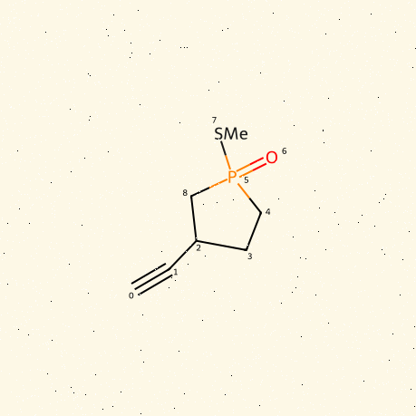 C#CC1CCP(=O)(SC)C1